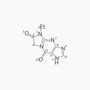 CCN1C(=O)Cn2c1nc1nc[nH]c1c2=O